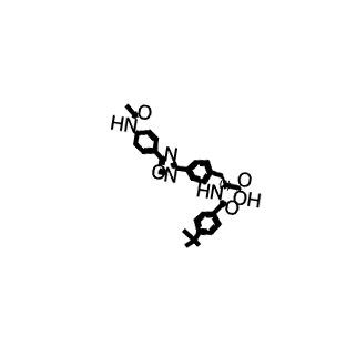 CC(=O)NC1C=CC(c2nc(-c3ccc(C[C@H](NC(=O)c4ccc(C(C)(C)C)cc4)C(=O)O)cc3)no2)=CC1